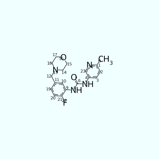 Cc1ccc(NC(=O)Nc2cc(CN3CCOCC3)ccc2F)cn1